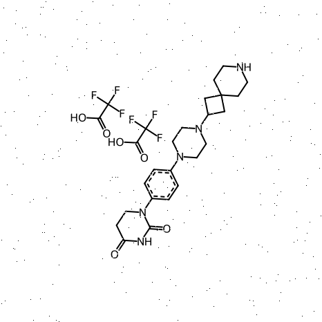 O=C(O)C(F)(F)F.O=C(O)C(F)(F)F.O=C1CCN(c2ccc(N3CCN(C4CC5(CCNCC5)C4)CC3)cc2)C(=O)N1